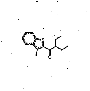 CCC(CC)C(=O)c1sc2ccccc2c1C